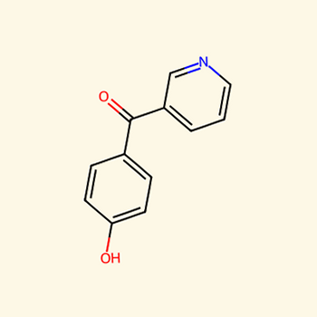 O=C(c1ccc(O)cc1)c1cccnc1